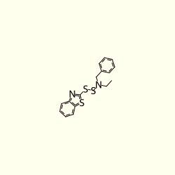 CCN(Cc1ccccc1)SSc1nc2ccccc2s1